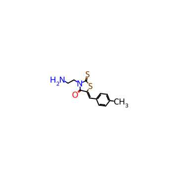 Cc1ccc(/C=C2\SC(=S)N(CCN)C2=O)cc1